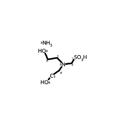 N.O=S(=O)(O)CN(CCO)CCO